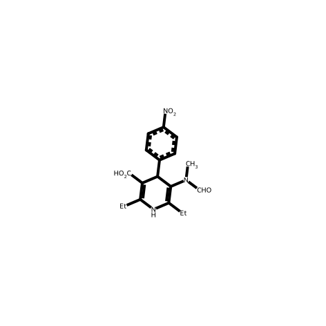 CCC1=C(C(=O)O)C(c2ccc([N+](=O)[O-])cc2)C(N(C)C=O)=C(CC)N1